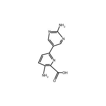 Nc1ncc(-c2ccc(N)c(C(=O)O)n2)cn1